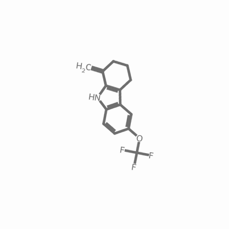 C=C1CCCc2c1[nH]c1ccc(OC(F)(F)F)cc21